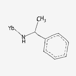 CC([NH][Yb])c1ccccc1